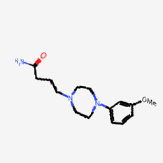 COc1cccc(N2CCN(CCCC(N)=O)CC2)c1